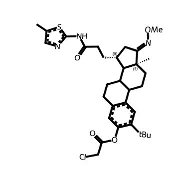 CON=C1C[C@@H](CCC(=O)Nc2ncc(C)s2)C2C3CCc4cc(OC(=O)CCl)c(C(C)(C)C)cc4C3CC[C@]12C